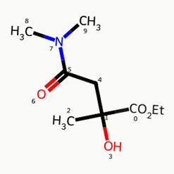 CCOC(=O)C(C)(O)CC(=O)N(C)C